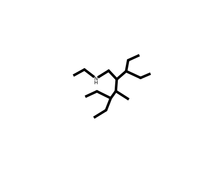 CCNCC(C(CC)CC)C(C)C(CC)CC